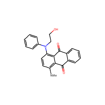 CNc1ccc(N(CCO)c2ccccc2)c2c1C(=O)c1ccccc1C2=O